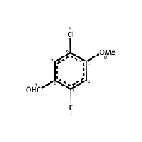 COc1cc(F)c(C=O)cc1Cl